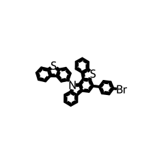 Brc1ccc(-c2cc3c4ccccc4n(-c4ccc5sc6ccccc6c5c4)c3c3c2sc2ccccc23)cc1